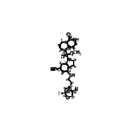 Cc1c[nH]c(=O)c2cccc(S(=O)(=O)N3CCc4c(NCCN5C[C@H]6C[C@H]5CO6)cc(C#N)cc43)c12